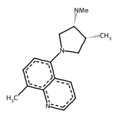 CN[C@H]1CN(c2ccc(C)c3ncccc23)C[C@H]1C